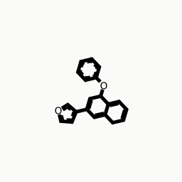 C1=CCC2=CC(c3ccoc3)=CC(Oc3ccccc3)C2=C1